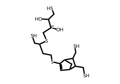 OC(CS)[C@@H](O)CSC(CS)CCSC1=CC2CC1C(CS)C2CS